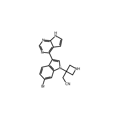 N#CCC1(n2cc(-c3ncnc4[nH]ccc34)c3ccc(Br)cc32)CNC1